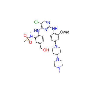 COc1cc(N2CCC(N3CCN(C)CC3)CC2)ccc1Nc1ncc(Cl)c(Nc2ccc(CO)cc2N(C)S(C)(=O)=O)n1